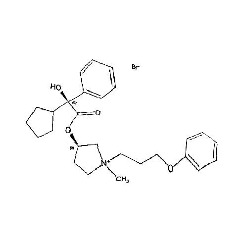 C[N+]1(CCCOc2ccccc2)CC[C@@H](OC(=O)[C@@](O)(c2ccccc2)C2CCCC2)C1.[Br-]